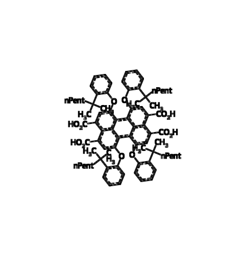 CCCCCC(C)(C)c1ccccc1Oc1cc(C(=O)O)c2c(C(=O)O)cc(Oc3ccccc3C(C)(C)CCCCC)c3c4c(Oc5ccccc5C(C)(C)CCCCC)cc(C(=O)O)c5c(C(=O)O)cc(Oc6ccccc6C(C)(C)CCCCC)c(c1c23)c54